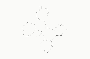 S=P12c3ccccc3-c3ccccc3N1c1ccncc1-c1ccccc12